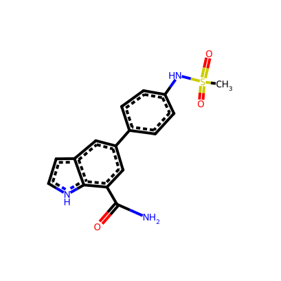 CS(=O)(=O)Nc1ccc(-c2cc(C(N)=O)c3[nH]ccc3c2)cc1